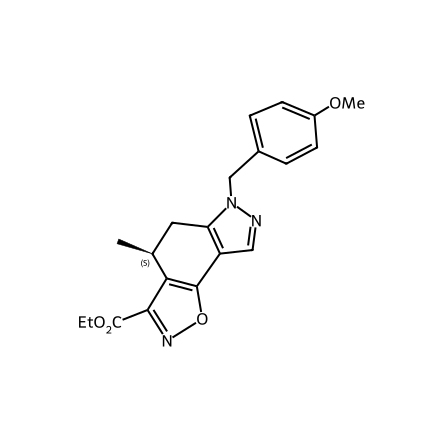 CCOC(=O)c1noc2c1[C@@H](C)Cc1c-2cnn1Cc1ccc(OC)cc1